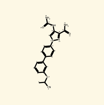 CC(C#N)Oc1cccc(-c2ccc(-n3cc(NC(N)=O)c(C(N)=O)n3)cc2)c1